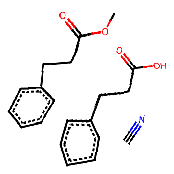 C#N.COC(=O)CCc1ccccc1.O=C(O)CCc1ccccc1